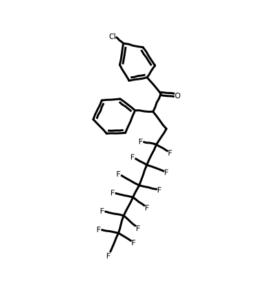 O=C(c1ccc(Cl)cc1)C(CC(F)(F)C(F)(F)C(F)(F)C(F)(F)C(F)(F)C(F)(F)F)c1ccccc1